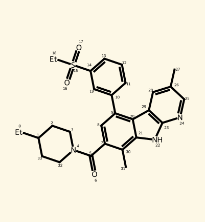 CCC1CCN(C(=O)c2cc(-c3cccc(S(=O)(=O)CC)c3)c3c([nH]c4ncc(C)cc43)c2C)CC1